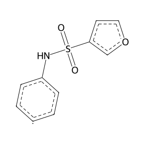 O=S(=O)(Nc1cc[c]cc1)c1ccoc1